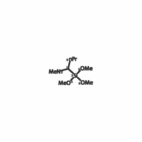 CCCC(NC)[Si](OC)(OC)OC